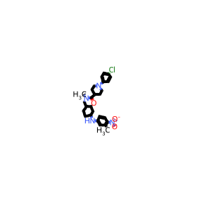 Cc1cc(NC2CCC(CN(C)C(=O)C3CCN(c4ccc(Cl)cc4)CC3)CC2)ccc1[N+](=O)[O-]